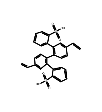 C=Cc1ccc(-c2ccc(C=C)cc2-c2ccccc2S(=O)(=O)O)c(-c2ccccc2S(=O)(=O)O)c1